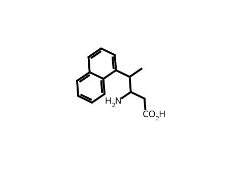 CC(c1cccc2ccccc12)C(N)CC(=O)O